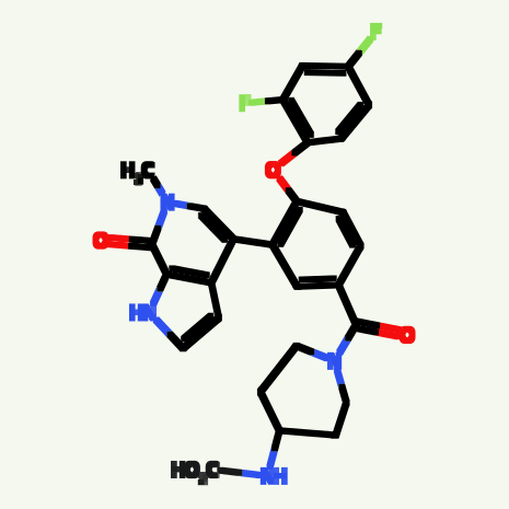 Cn1cc(-c2cc(C(=O)N3CCC(NC(=O)O)CC3)ccc2Oc2ccc(F)cc2F)c2cc[nH]c2c1=O